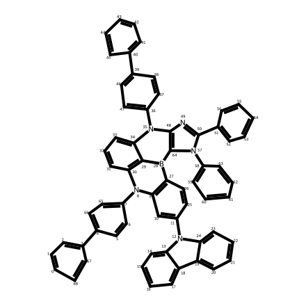 c1ccc(-c2ccc(N3c4cc(-n5c6ccccc6c6ccccc65)ccc4B4c5c3cccc5N(c3ccc(-c5ccccc5)cc3)c3nc(-c5ccccc5)n(-c5ccccc5)c34)cc2)cc1